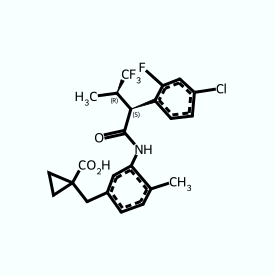 Cc1ccc(CC2(C(=O)O)CC2)cc1NC(=O)[C@H](c1ccc(Cl)cc1F)[C@@H](C)C(F)(F)F